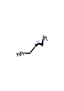 CCCC/I=C/C(C)C